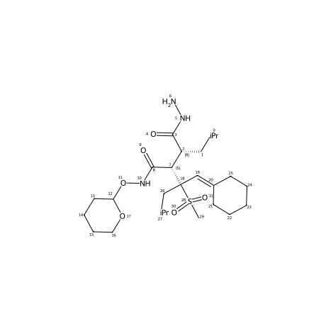 CC(C)C[C@@H](C(=O)NN)[C@@H](C(=O)NOC1CCCCO1)C(C=C1CCCCC1)(CC(C)C)S(C)(=O)=O